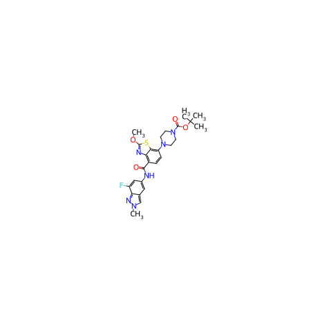 COc1nc2c(C(=O)Nc3cc(F)c4nn(C)cc4c3)ccc(N3CCN(C(=O)OC(C)(C)C)CC3)c2s1